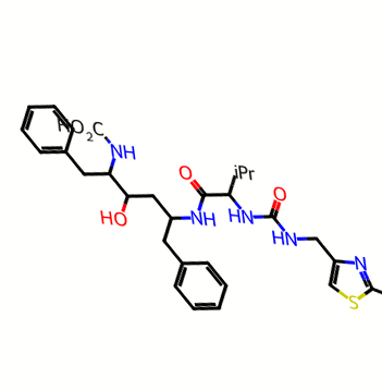 CC(C)c1nc(CNC(=O)NC(C(=O)NC(Cc2ccccc2)CC(O)C(Cc2ccccc2)NC(=O)O)C(C)C)cs1